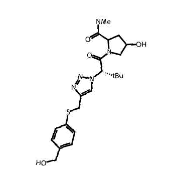 CNC(=O)C1CC(O)CN1C(=O)[C@@H](n1cc(CSc2ccc(CO)cc2)nn1)C(C)(C)C